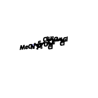 CO/N=C/c1ccc(COc2c(Cl)cc(OCC=C(Cl)Cl)cc2Cl)s1